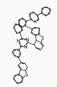 C1=CC(c2nc(-c3ccccc3)nc(-c3cccc(C4=CCC5Sc6ccccc6C5=C4)c3)n2)C2C(=C1)Sc1ccc(-c3ccccc3-c3ccc(-c4ccccc4)cc3)cc12